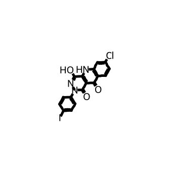 O=c1c2ccc(Cl)cc2[nH]c2c(O)nn(-c3ccc(I)cc3)c(=O)c12